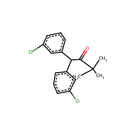 CC(C)(C)C(=O)C(c1cccc(Cl)c1)c1cccc(Cl)c1